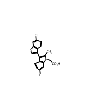 Cc1c(-c2csc3cc(Cl)ccc23)c2ccc(F)cc2n1CC(=O)O